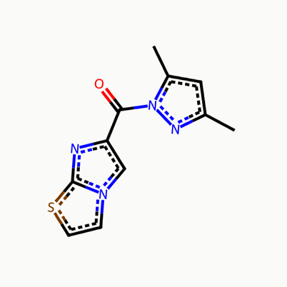 Cc1cc(C)n(C(=O)c2cn3ccsc3n2)n1